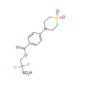 O=C(OCC(F)(F)S(=O)(=O)O)c1ccc(N2CCS(=O)(=O)CC2)cc1